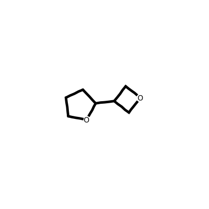 C1CO[C](C2COC2)C1